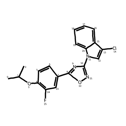 CC(C)Oc1ccc(-c2nc(-n3cc(Cl)c4ccccc43)no2)cc1F